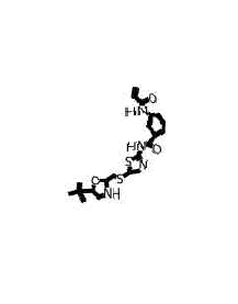 C=CC(=O)Nc1cccc(C(=O)NC2=NCC(SCC3NCC(C(C)(C)C)O3)S2)c1